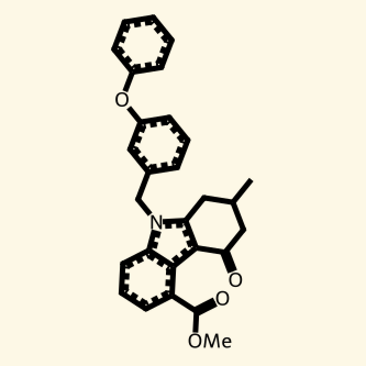 COC(=O)c1cccc2c1c1c(n2Cc2cccc(Oc3ccccc3)c2)CC(C)CC1=O